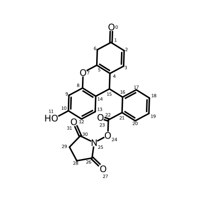 O=C1C=CC2=C(C1)Oc1cc(O)ccc1C2c1ccccc1C(=O)ON1C(=O)CCC1=O